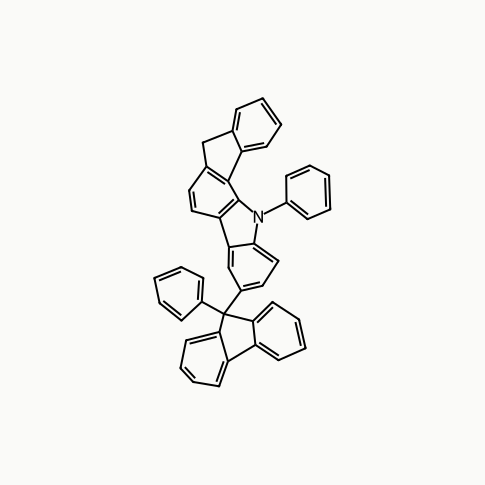 c1ccc(-n2c3ccc(C4(c5ccccc5)c5ccccc5-c5ccccc54)cc3c3ccc4c(c32)-c2ccccc2C4)cc1